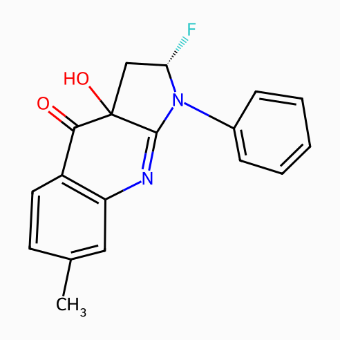 Cc1ccc2c(c1)N=C1N(c3ccccc3)[C@@H](F)CC1(O)C2=O